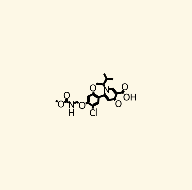 COC(=O)NCOc1cc2c(cc1Cl)-c1cc(=O)c(C(=O)O)cn1C(C(C)C)CO2